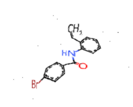 C=Cc1ccccc1NC(=O)c1ccc(Br)cc1